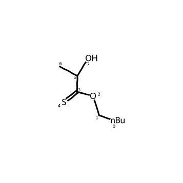 CCCCCOC(=S)C(C)O